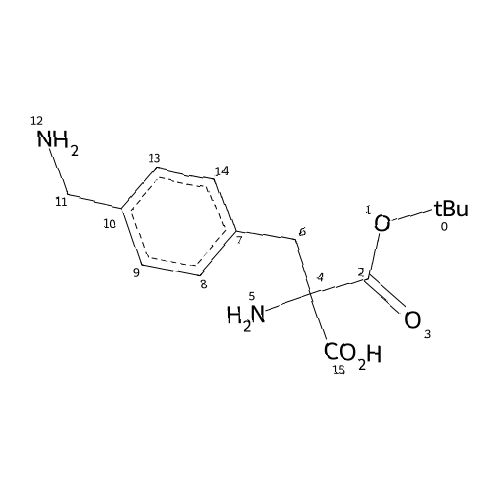 CC(C)(C)OC(=O)C(N)(Cc1ccc(CN)cc1)C(=O)O